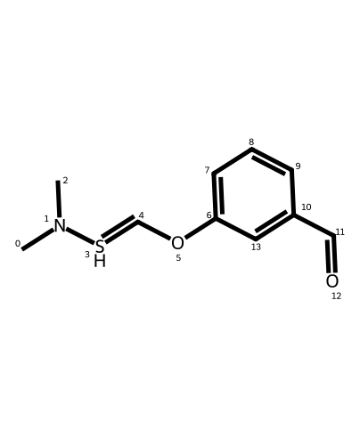 CN(C)[SH]=COc1cccc(C=O)c1